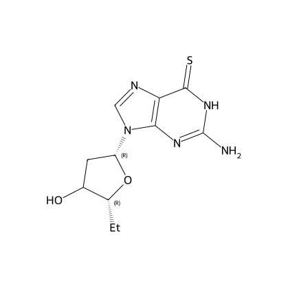 CC[C@H]1O[C@@H](n2cnc3c(=S)[nH]c(N)nc32)CC1O